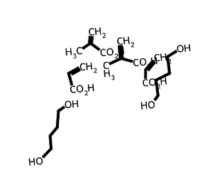 C=C(C)C(=O)O.C=C(C)C(=O)O.C=CC(=O)O.C=CC(=O)O.OCCCCO.OCCCCO